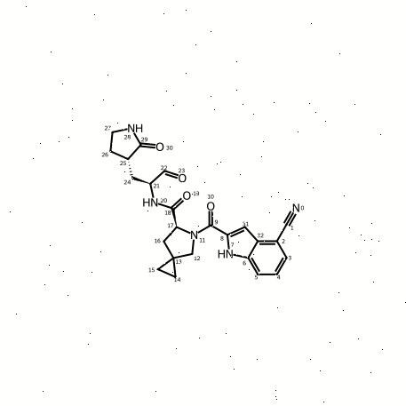 N#Cc1cccc2[nH]c(C(=O)N3CC4(CC4)C[C@H]3C(=O)N[C@H](C=O)C[C@@H]3CCNC3=O)cc12